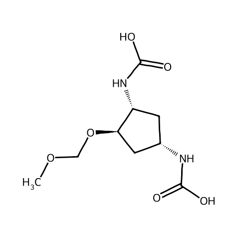 COCO[C@@H]1C[C@@H](NC(=O)O)C[C@H]1NC(=O)O